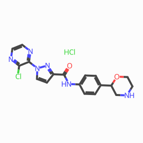 Cl.O=C(Nc1ccc(C2CNCCO2)cc1)c1ccn(-c2nccnc2Cl)n1